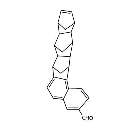 O=Cc1ccc2c3c(ccc2c1)C1CC3C2C3CC(C4C5C=CC(C5)C34)C12